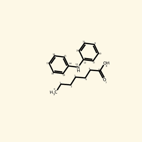 CCCCCCC(=O)O.c1ccc(Nc2ccccc2)cc1